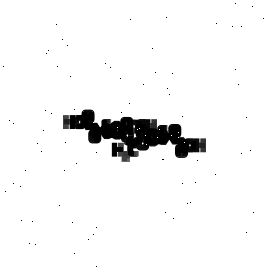 C=C(COc1cc2cc(C(=O)CCC(=O)O)sc2cc1OC)COc1cc2cc(C(=O)CCC(=O)O)sc2cc1OC